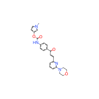 Cn1ccc(OC(=O)Nc2ccc(C(=O)C=Cc3cccc(N4CCOCC4)n3)cc2)c1